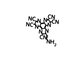 N#Cc1nc2c3nc(C#N)c(C#N)nc3c3nc(CCN)c(C#N)nc3c2nc1C#N